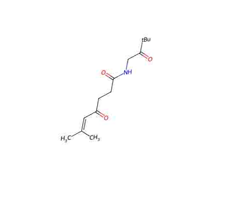 CC(C)=CC(=O)CCC(=O)NCC(=O)C(C)(C)C